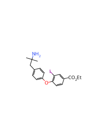 CCOC(=O)c1ccc(Oc2ccc(CC(C)(C)N)cc2)c(I)c1